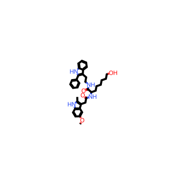 COc1ccc2[nH]c(C)c(CC(=O)NC(CCCCCCO)C(=O)NCCc3c(-c4ccccc4)[nH]c4ccccc34)c2c1